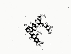 CCn1cc(C[N+]2(CC3=C(C(=O)O)N4C(=O)[C@@H](NC(=O)/C(=N\O[C@@H](CC(=O)O)C(=O)O)c5csc(N)n5)[C@H]4SC3)CCCC2)c(=O)c2cc(C)c(O)cc21